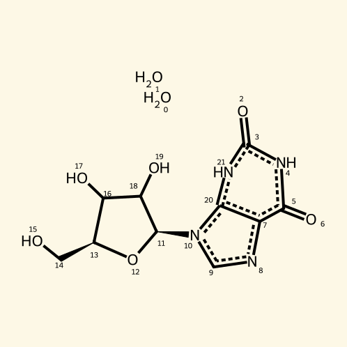 O.O.O=c1[nH]c(=O)c2ncn([C@H]3O[C@@H](CO)C(O)C3O)c2[nH]1